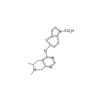 CC1Cc2c(ncnc2Oc2ccc3c(ccn3C(=O)O)c2)CN1C